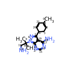 CC1=CCC(c2nn(C(C)(C)CN)c3ncnc(N)c23)C=C1